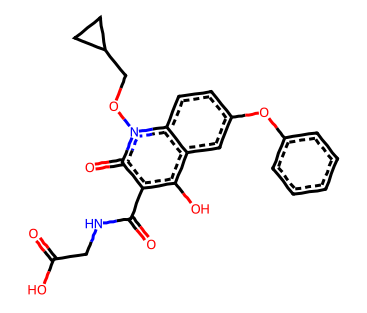 O=C(O)CNC(=O)c1c(O)c2cc(Oc3ccccc3)ccc2n(OCC2CC2)c1=O